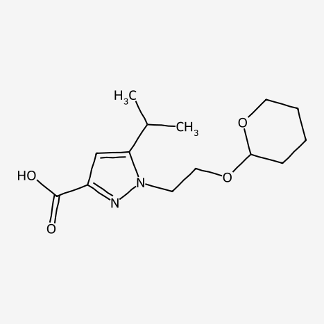 CC(C)c1cc(C(=O)O)nn1CCOC1CCCCO1